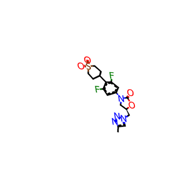 Cc1cn(C[C@H]2CN(c3cc(F)c(C4CCS(=O)(=O)CC4)c(F)c3)C(=O)O2)nn1